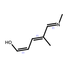 C/N=C/C(C)=C/C=C\O